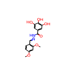 COc1ccc(C=NNC(=O)c2cc(O)c(O)c(O)c2)c(OC)c1